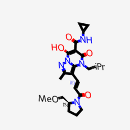 COC[C@@H]1CCCN1C(=O)/C=C/c1c(C)nn2c(O)c(C(=O)NC3CC3)c(=O)n(CC(C)C)c12